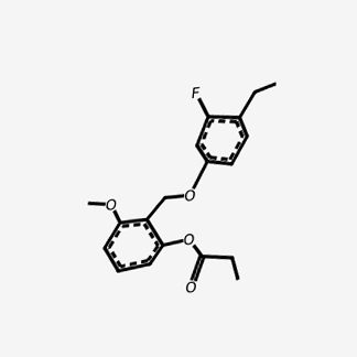 CCC(=O)Oc1cccc(OC)c1COc1ccc(CC)c(F)c1